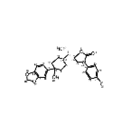 Cl.O=C1O[C@@H](CN2CCC(O)(c3ccc4c(c3)OCO4)CC2)CN1c1ccc(F)cc1